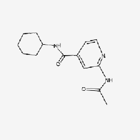 CC(=O)Nc1cc(C(=O)NC2CCCCC2)ccn1